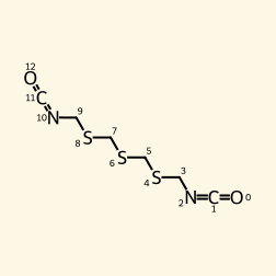 O=C=NCSCSCSCN=C=O